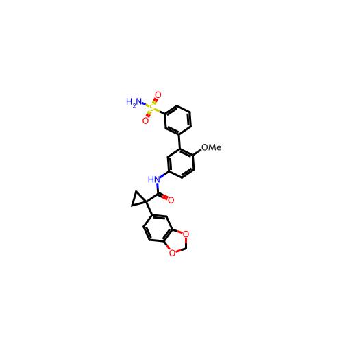 COc1ccc(NC(=O)C2(c3ccc4c(c3)OCO4)CC2)cc1-c1cccc(S(N)(=O)=O)c1